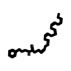 CC/C=C\C/C=C\C/C=C\C/C=C\C/C=C\C/C=C\CCC(=O)NCCCc1ccccc1